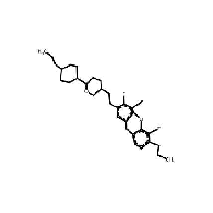 CCCc1ccc2c(c1F)Oc1c(cc(CCC3CCC(C4CCC(CCC)CC4)OC3)c(F)c1F)C2